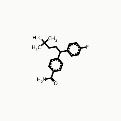 CC(C)(C)CCC(c1ccc(F)cc1)c1ccc(C(N)=O)cc1